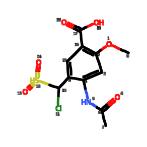 COc1cc(NC(C)=O)c(C(Cl)[SH](=O)=O)cc1C(=O)O